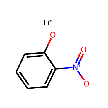 O=[N+]([O-])c1ccccc1[O-].[Li+]